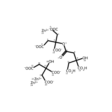 O=C([O-])CC(CC(=O)[O-])(OC(=O)CC(O)(CC(=O)O)C(=O)O)C(=O)[O-].O=C([O-])CC(O)(CC(=O)[O-])C(=O)[O-].[Zn+2].[Zn+2].[Zn+2]